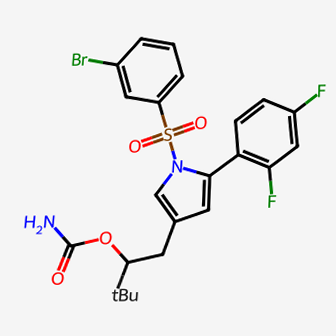 CC(C)(C)C(Cc1cc(-c2ccc(F)cc2F)n(S(=O)(=O)c2cccc(Br)c2)c1)OC(N)=O